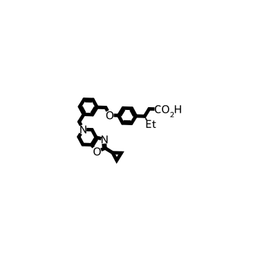 CC[C@@H](CC(=O)O)c1ccc(OCc2cccc(CN3CCc4oc(C5CC5)nc4C3)c2)cc1